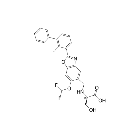 Cc1c(-c2ccccc2)cccc1-c1nc2cc(CN[C@H](CO)C(=O)O)c(OC(F)F)cc2o1